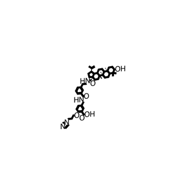 C=C(C)[C@@H]1CC[C@]2(C(=O)NCCc3cccc(C(=O)NCc4ccc(OCCCn5ccnc5)c(C(=O)O)c4)c3)CC[C@]3(C)C(CCC4[C@@]5(C)CC[C@H](O)C(C)(C)C5CC[C@]43C)C12